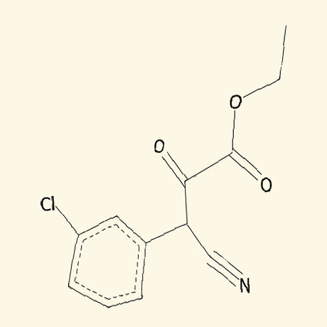 CCOC(=O)C(=O)C(C#N)c1cccc(Cl)c1